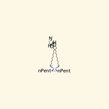 CCCCC/C=C\C/C=C\CCCCCCCCC1(CCCCCCCC/C=C\C/C=C\CCCCC)CCC2(C1)O[C@@H]1CCC(N(C)C)C[C@H]1O2